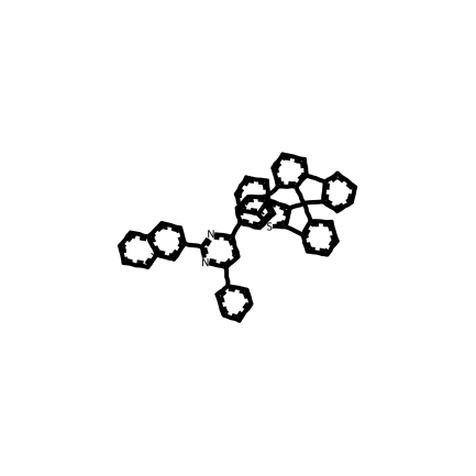 c1ccc(-c2cc(-c3ccc(-c4cccc5c4C4(c6ccccc6-5)c5ccccc5-c5sc6ccccc6c54)cc3)nc(-c3ccc4ccccc4c3)n2)cc1